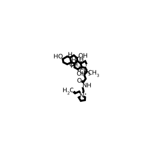 C=CC[N+]1(CCNC(=O)CC[C@@H](C)[C@H]2CC[C@H]3[C@@H]4[C@H](O)C[C@@H]5C[C@H](O)CC[C@]5(C)[C@H]4C[C@H](O)[C@]23C)CCCC1